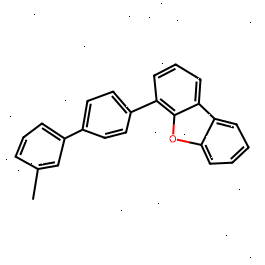 Cc1cccc(-c2ccc(-c3cccc4c3oc3ccccc34)cc2)c1